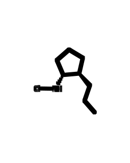 CCC[C@@H]1CCC[C@H]1NCl